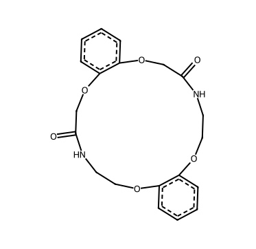 O=C1COc2ccccc2OCC(=O)NCCOc2ccccc2OCCN1